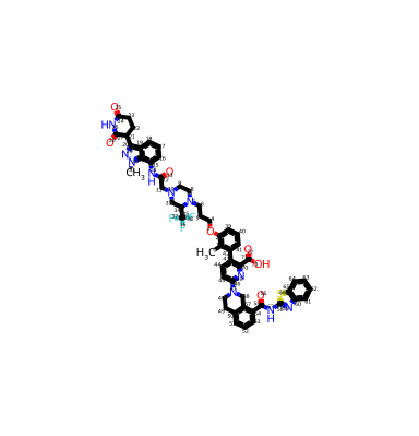 Cc1c(OCCCN2CCN(CC(=O)Nc3cccc4c(C5CCC(=O)NC5=O)nn(C)c34)CC2C(F)(F)F)cccc1-c1ccc(N2CCc3cccc(C(=O)Nc4nc5ccccc5s4)c3C2)nc1C(=O)O